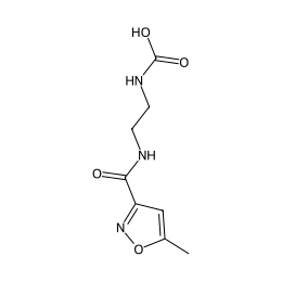 Cc1cc(C(=O)NCCNC(=O)O)no1